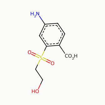 Nc1ccc(C(=O)O)c(S(=O)(=O)CCO)c1